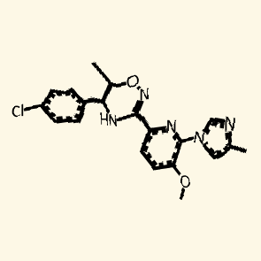 COc1ccc(C2=NOC(C)C(c3ccc(Cl)cc3)N2)nc1-n1cnc(C)c1